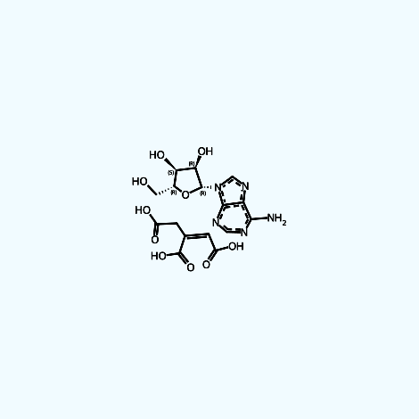 Nc1ncnc2c1ncn2[C@@H]1O[C@H](CO)[C@@H](O)[C@H]1O.O=C(O)C=C(CC(=O)O)C(=O)O